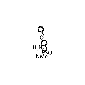 CNC(=O)[C@@]1(Cc2ccc(OCc3ccccc3)cc2)C[C@@H]1N